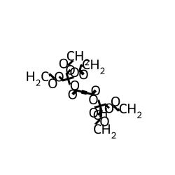 C=CC(=O)OCC(CO)(COC(=O)C#CC(=O)OCC(COC(=O)C=C)(COC(=O)C=C)COC(=O)C=C)COC(=O)C=C